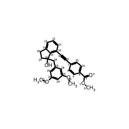 COC(=O)c1ccc(C#Cc2cccc3c2C(O)(Cc2cc(OC)cc(OC)c2)CC3)cc1